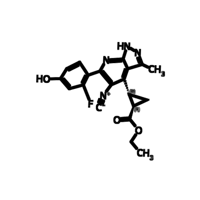 [C-]#[N+]c1c(-c2ccc(O)cc2F)nc2[nH]nc(C)c2c1[C@@H]1C[C@H]1C(=O)OCC